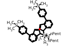 CCCCC[Si](CCCCC)=[Hf]([CH3])([CH3])([CH]1C=Cc2c(-c3ccc([Si](C)(C)C)cc3)cccc21)[CH]1C=Cc2c(-c3ccc([Si](C)(C)C)cc3)cccc21